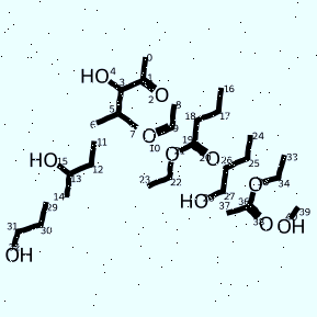 CC(=O)C(O)C(C)C.CC=O.CCC(C)O.CCCC(=O)OCC.CCCCO.CCCO.CCOC(C)=O.CO